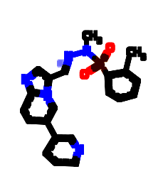 Cc1ccccc1S(=O)(=O)N(C)/N=C/c1cnc2ccc(-c3cccnc3)cn12